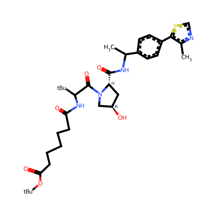 Cc1ncsc1-c1ccc(C(C)NC(=O)[C@@H]2C[C@@H](O)CN2C(=O)C(NC(=O)CCCCCC(=O)OC(C)(C)C)C(C)(C)C)cc1